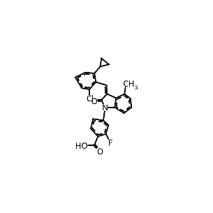 Cc1cccc2c1/C(=C/c1c(Cl)cccc1C1CC1)C(=O)N2c1ccc(C(=O)O)c(F)c1